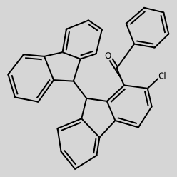 O=C(c1ccccc1)c1c(Cl)ccc2c1C(C1c3ccccc3-c3ccccc31)c1ccccc1-2